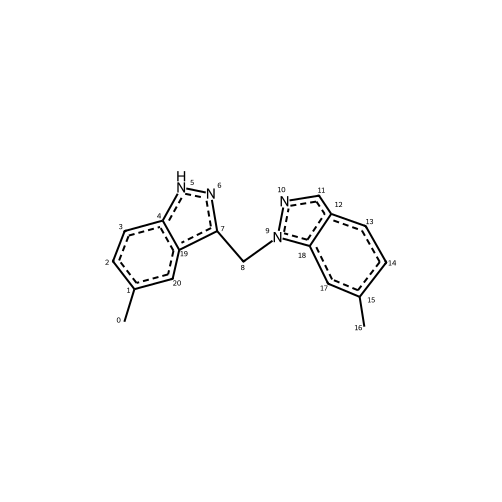 Cc1ccc2[nH]nc(Cn3ncc4ccc(C)cc43)c2c1